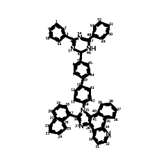 c1ccc(C2=NC(c3ccc(-c4ccc(-n5c(-c6cccc7ccccc67)nc6c7cccnc7c7ccccc7c65)cc4)cc3)NC(c3ccccc3)=N2)cc1